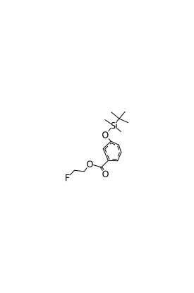 CC(C)(C)[Si](C)(C)Oc1cccc(C(=O)OCCF)c1